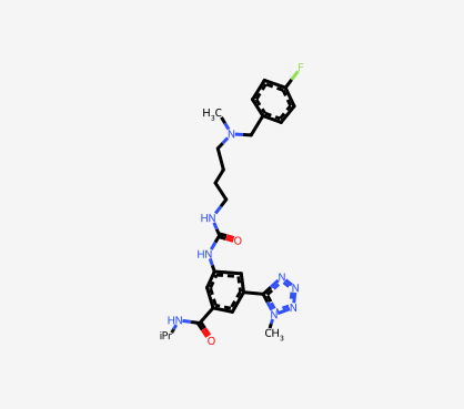 CC(C)NC(=O)c1cc(NC(=O)NCCCCN(C)Cc2ccc(F)cc2)cc(-c2nnnn2C)c1